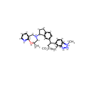 CCOC(=O)CC(c1ccc2c(c1)C(N1Cc3cccnc3O[C@H](C)C1)CC2)c1ccc2c(nnn2C)c1C